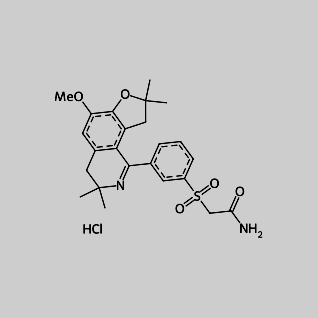 COc1cc2c(c3c1OC(C)(C)C3)C(c1cccc(S(=O)(=O)CC(N)=O)c1)=NC(C)(C)C2.Cl